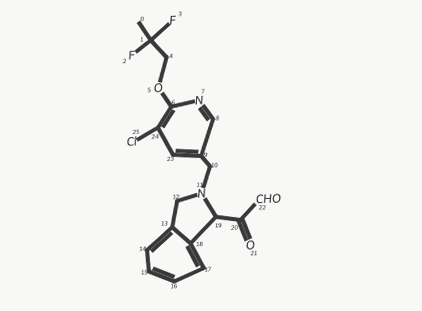 CC(F)(F)COc1ncc(CN2Cc3ccccc3C2C(=O)C=O)cc1Cl